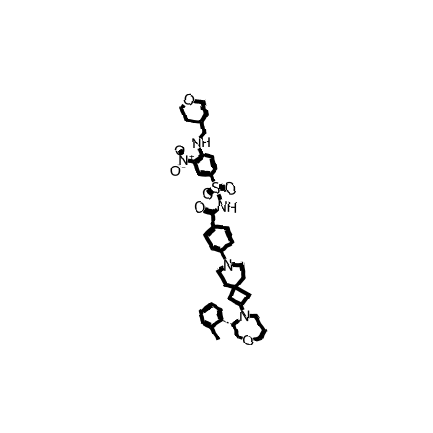 Cc1ccccc1[C@H]1COCCCN1C1CC2(CCN(c3ccc(C(=O)NS(=O)(=O)c4ccc(NCC5CCOCC5)c([N+](=O)[O-])c4)cc3)CC2)C1